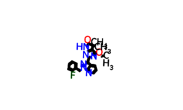 CCOc1nc(-c2nn(Cc3ccccc3F)c3ncccc23)nc2c1C(C)(C)C(=O)N2